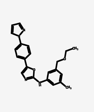 CCOCc1cc(C)cc(Nc2ncc(-c3ccc(-n4cccn4)cc3)o2)c1